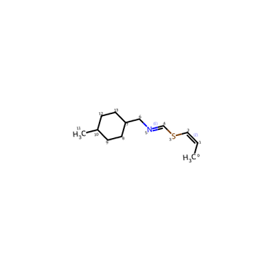 C/C=C\S/C=N/CC1CCC(C)CC1